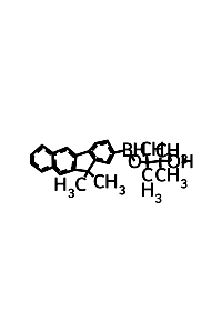 CC1(C)c2cc(BOC(C)(C)C(C)(C)O)ccc2-c2cc3ccccc3cc21